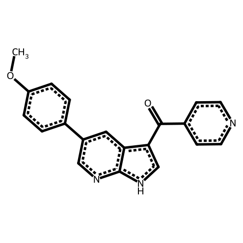 COc1ccc(-c2cnc3[nH]cc(C(=O)c4ccncc4)c3c2)cc1